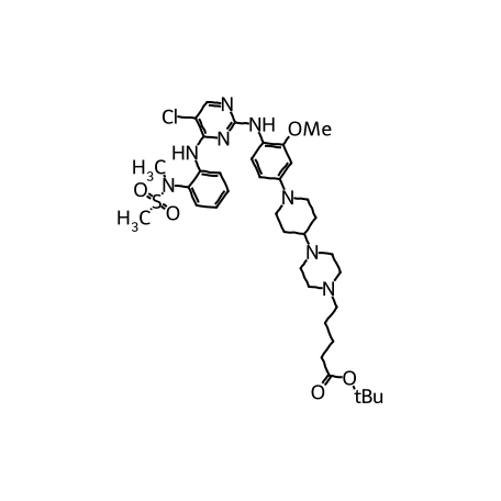 COc1cc(N2CCC(N3CCN(CCCCC(=O)OC(C)(C)C)CC3)CC2)ccc1Nc1ncc(Cl)c(Nc2ccccc2N(C)S(C)(=O)=O)n1